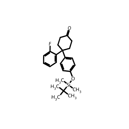 CC(C)(C)[Si](C)(C)Oc1ccc(C2(c3ccccc3F)CCC(=O)CC2)cc1